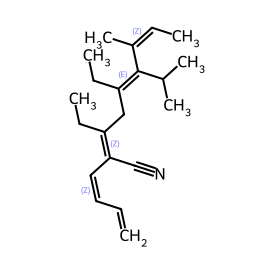 C=C/C=C\C(C#N)=C(/CC)C/C(CC)=C(/C(C)=C\C)C(C)C